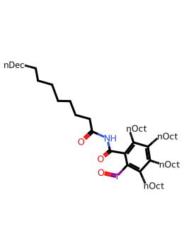 CCCCCCCCCCCCCCCCCC(=O)NC(=O)c1c(CCCCCCCC)c(CCCCCCCC)c(CCCCCCCC)c(CCCCCCCC)c1I=O